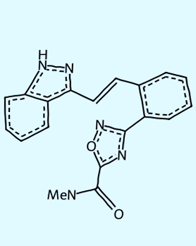 CNC(=O)c1nc(-c2ccccc2/C=C/c2n[nH]c3ccccc23)no1